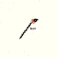 CCCCCCCCCCCCCCCCCCOS(=O)(=O)c1ccc(C)cc1.[NaH]